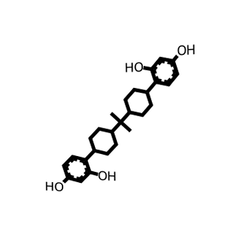 CC(C)(C1CCC(c2ccc(O)cc2O)CC1)C1CCC(c2ccc(O)cc2O)CC1